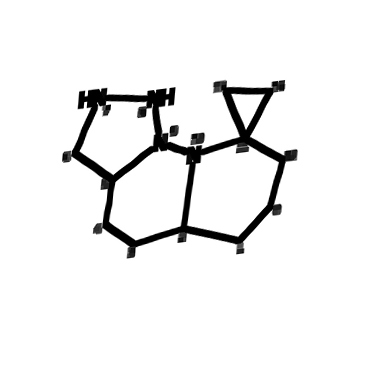 C1CC2CCC3CNNN3N2C2(C1)CC2